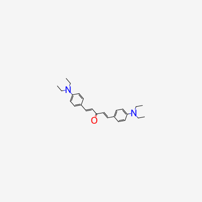 CCN(CC)c1ccc(C=CC(=O)C=Cc2ccc(N(CC)CC)cc2)cc1